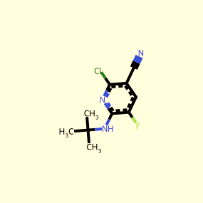 CC(C)(C)Nc1nc(Cl)c(C#N)cc1F